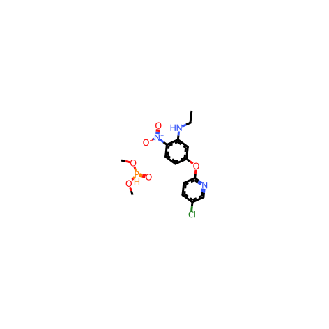 CCNc1cc(Oc2ccc(Cl)cn2)ccc1[N+](=O)[O-].CO[PH](=O)OC